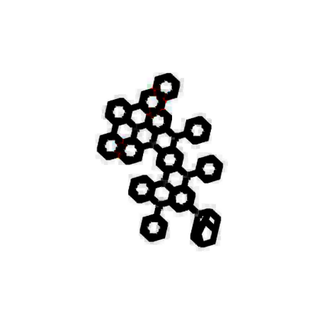 c1ccc(-c2cc3c4c(c2)N(c2c(-c5ccccc5)cccc2-c2ccccc2)c2ccccc2B4c2cc4c(cc2N3c2ccccc2)N(c2ccccc2)c2cc(N3C5CC6CC(C5)CC3C6)cc3c2B4c2ccccc2N3c2ccccc2)cc1